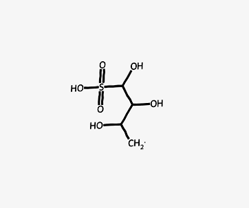 [CH2]C(O)C(O)C(O)S(=O)(=O)O